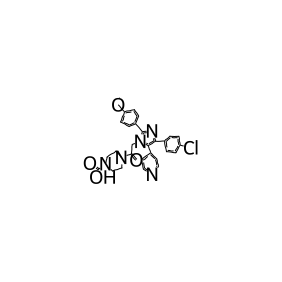 COc1ccc(-c2nc(-c3ccc(Cl)cc3)c(-c3ccncc3)n2CC(=O)N2CCN(C(=O)O)CC2)cc1